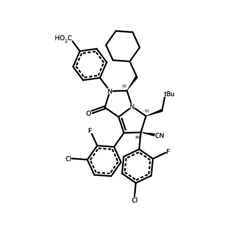 CC(C)(C)C[C@@H]1N2C(=C(c3cccc(Cl)c3F)[C@@]1(C#N)c1ccc(Cl)cc1F)C(=O)N(c1ccc(C(=O)O)cc1)[C@H]2CC1CCCCC1